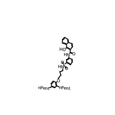 CCCCCc1ccc(OCCCCNS(=O)(=O)c2cccc(NC(=O)c3ccc4ccccc4c3O)c2)c(CCCCC)c1